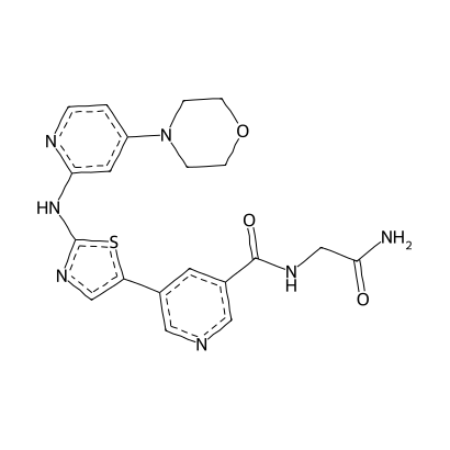 NC(=O)CNC(=O)c1cncc(-c2cnc(Nc3cc(N4CCOCC4)ccn3)s2)c1